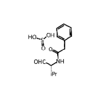 CC(C)[C@H](C=O)NC(=O)Cc1ccccc1.O=S(O)O